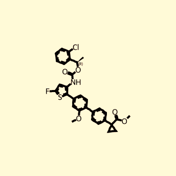 COC(=O)C1(c2ccc(-c3ccc(-c4sc(F)cc4NC(=O)O[C@H](C)c4ccccc4Cl)cc3OC)cc2)CC1